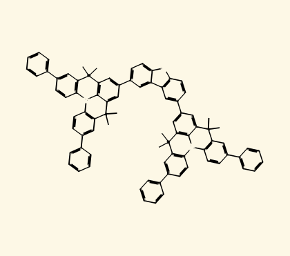 CC1(C)c2cc(-c3ccccc3)ccc2N2c3ccc(-c4ccccc4)cc3C(C)(C)c3cc(-c4ccc5oc6ccc(-c7cc8c9c(c7)C(C)(C)c7cc(-c%10ccccc%10)ccc7N9c7ccc(-c9ccccc9)cc7C8(C)C)cc6c5c4)cc1c32